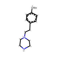 COc1ccc(CCN2CC[N]CC2)cc1